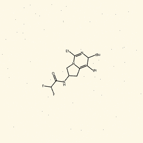 CCC1=NC(C(C)(C)C)C(C(C)C)=C2CC(NC(=O)C(F)F)CN12